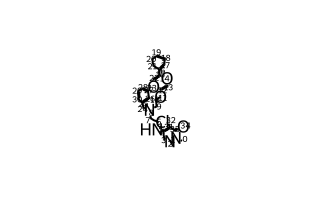 Cn1ncc(NCCN(CCOC2=COC(C3=CC=CCC3)=CO2)Cc2ccccc2)c(Cl)c1=O